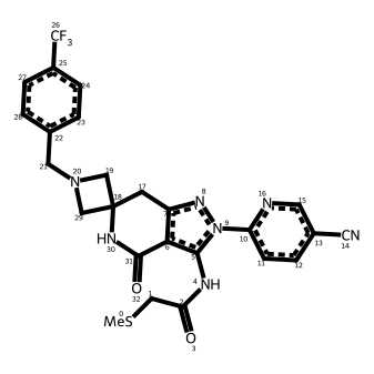 CSCC(=O)Nc1c2c(nn1-c1ccc(C#N)cn1)CC1(CN(Cc3ccc(C(F)(F)F)cc3)C1)NC2=O